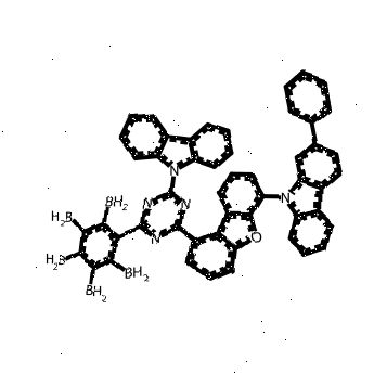 Bc1c(B)c(B)c(-c2nc(-c3cccc4oc5c(-n6c7ccccc7c7ccc(-c8ccccc8)cc76)cccc5c34)nc(-n3c4ccccc4c4ccccc43)n2)c(B)c1B